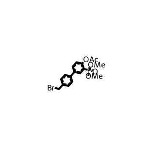 COP(=O)(OC)c1cc(-c2ccc(CBr)cc2)ccc1OC(C)=O